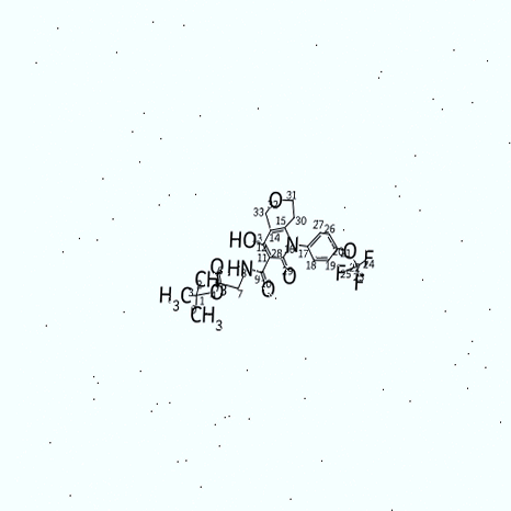 CC(C)(C)OC(=O)CNC(=O)c1c(O)c2c(n(-c3ccc(OC(F)(F)F)cc3)c1=O)CCOC2